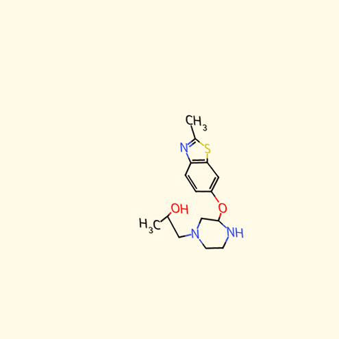 Cc1nc2ccc(OC3CN(CC(C)O)CCN3)cc2s1